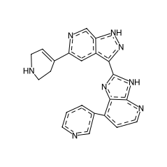 C1=C(c2cc3c(-c4nc5c(-c6cccnc6)ccnc5[nH]4)n[nH]c3cn2)CCNC1